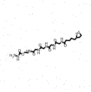 NNC(=O)OCCNC(=O)CNC(=O)CNC(=O)CNC(=O)CNC(=O)CCCCC1CCSS1